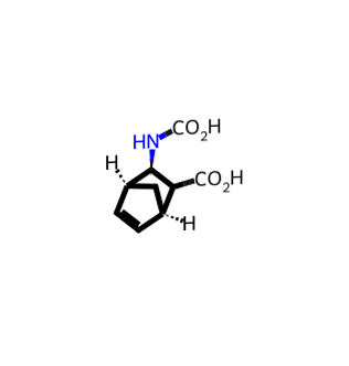 O=C(O)N[C@H]1C(C(=O)O)[C@H]2C=C[C@@H]1C2